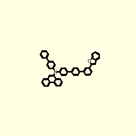 c1ccc(-c2ccc(N(c3ccc(-c4ccc(-c5cccc(-c6cc7ccccc7o6)c5)cc4)cc3)c3cc4ccccc4c4ccccc34)cc2)cc1